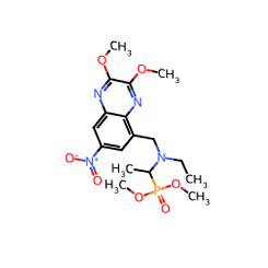 CCN(Cc1cc([N+](=O)[O-])cc2nc(OC)c(OC)nc12)C(C)P(=O)(OC)OC